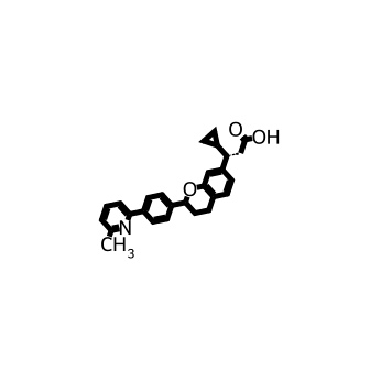 Cc1cccc(-c2ccc(C3CCc4ccc([C@@H](CC(=O)O)C5CC5)cc4O3)cc2)n1